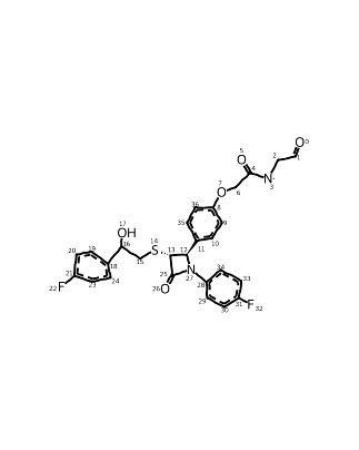 O=CC[N]C(=O)COc1ccc([C@@H]2[C@@H](SCC(O)c3ccc(F)cc3)C(=O)N2c2ccc(F)cc2)cc1